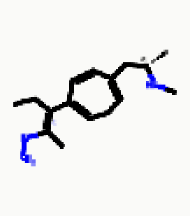 CC/C(C1=CCC=C(C[C@H](C)NC)C=C1)=C(/C)NN